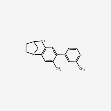 Cc1cc(-c2nc3c(cc2C)N2CCC(C2)N3)ccn1